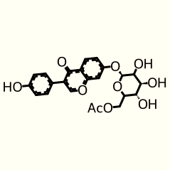 CC(=O)OCC1O[C@@H](Oc2ccc3c(=O)c(-c4ccc(O)cc4)coc3c2)C(O)[C@@H](O)[C@@H]1O